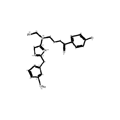 CCc1ccc(C(=O)CCCN(CC(C)C)C2=NC(Cc3cccc(OC)c3)=NC2)cc1